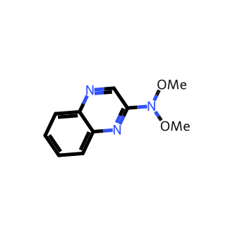 CON(OC)c1cnc2ccccc2n1